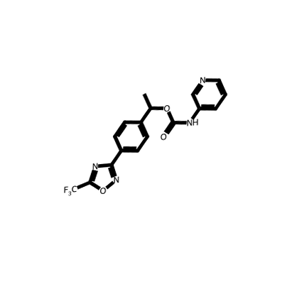 CC(OC(=O)Nc1cccnc1)c1ccc(-c2noc(C(F)(F)F)n2)cc1